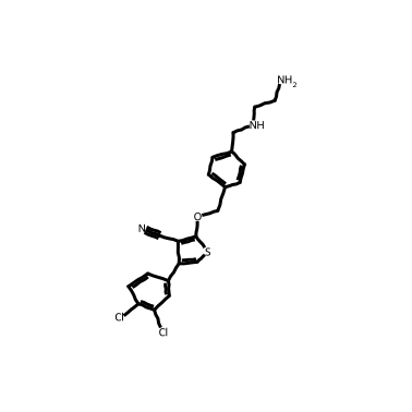 N#Cc1c(-c2ccc(Cl)c(Cl)c2)csc1OCc1ccc(CNCCN)cc1